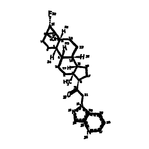 C[C@]12CC[C@@H]3[C@H]4CC[C@@]5(O)C([C@H]4CC[C@H]3[C@@H]1CC[C@@H]2C(=O)Cn1ncc2ncccc21)[C@H]5F